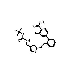 CC(C)(C)OC(=O)NCC1=NOC(COc2ccccc2-c2ccc(C(N)=O)c(F)c2)C1